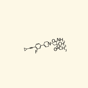 C[S+]([O-])C(C)(CCN1CC=C(c2ccc(C#CC3CC3)c(F)c2)CC1)C(N)=O